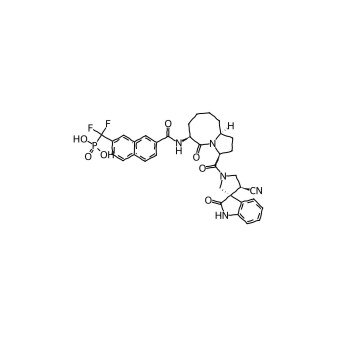 N#C[C@@H]1CN(C(=O)[C@@H]2CC[C@@H]3CCCC[C@H](NC(=O)c4ccc5ccc(C(F)(F)P(=O)(O)O)cc5c4)C(=O)N32)C[C@]12C(=O)Nc1ccccc12